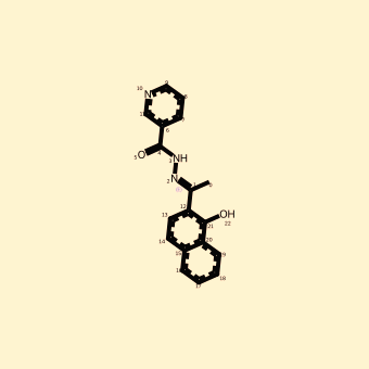 C/C(=N\NC(=O)c1cccnc1)c1ccc2ccccc2c1O